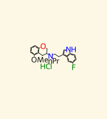 CCCN(CCc1c[nH]c2ccc(F)cc12)C1COc2cccc(OC)c2C1.Cl